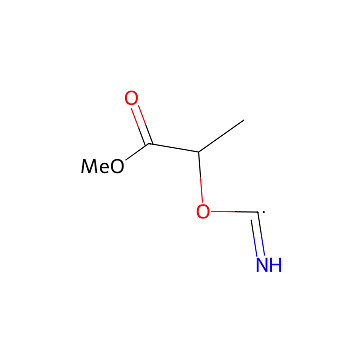 COC(=O)C(C)O[C]=N